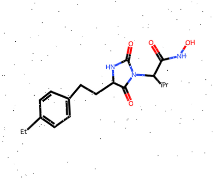 CCc1ccc(CCC2NC(=O)N(C(C(=O)NO)C(C)C)C2=O)cc1